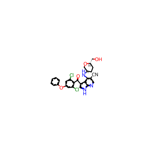 N#Cc1cnc2[nH]cc(C(=O)c3c(Cl)cc(Oc4ccccc4)cc3Cl)c2c1N[C@@H]1CC[C@@H](CO)OC1